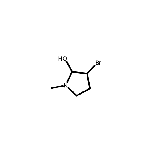 CN1CCC(Br)C1O